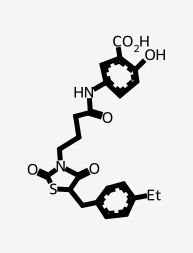 CCc1ccc(CC2SC(=O)N(CCCC(=O)Nc3ccc(O)c(C(=O)O)c3)C2=O)cc1